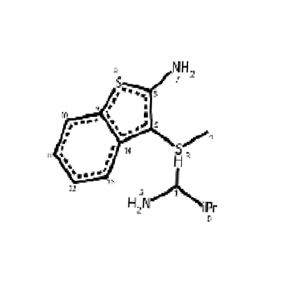 CC(C)C(N)[SH](C)c1c(N)sc2ccccc12